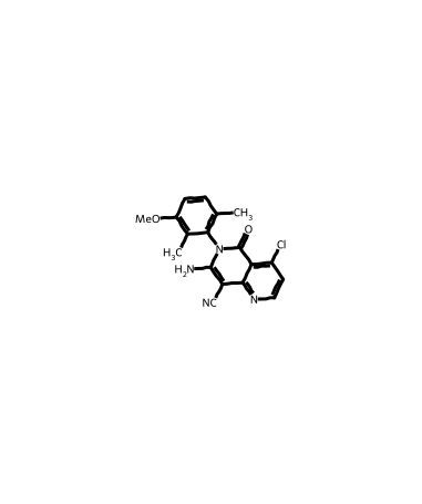 COc1ccc(C)c(-n2c(N)c(C#N)c3nccc(Cl)c3c2=O)c1C